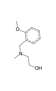 COc1ccccc1CN(C)CCO